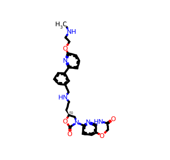 CNCCOc1cccc(-c2cccc(CNCC[C@H]3CN(c4ccc5c(n4)NC(=O)CO5)C(=O)O3)c2)n1